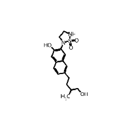 CC(CO)CCc1ccc2cc(O)c(N3CCNS3(=O)=O)cc2c1